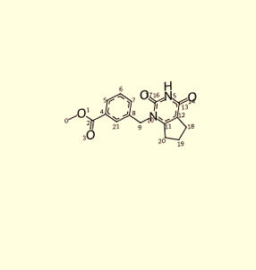 COC(=O)c1cccc(Cn2c3c(c(=O)[nH]c2=O)CCC3)c1